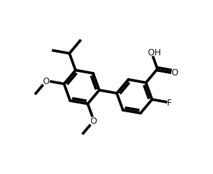 COc1cc(OC)c(C(C)C)cc1-c1ccc(F)c(C(=O)O)c1